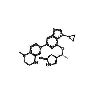 C[C@@H](Oc1nc(-c2ccc3c(c2)NCCN3C)cc2ncn(C3CC3)c12)[C@H]1CNC(=O)C1